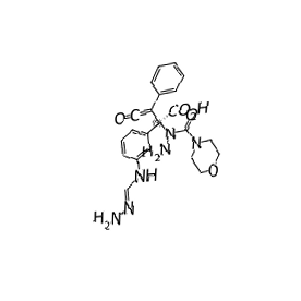 NN=CNc1cccc([C@@](C(=O)O)(C(=C=O)c2ccccc2)N(N)C(=O)N2CCOCC2)c1